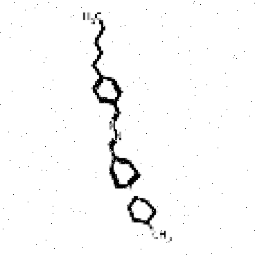 CCCCCc1ccc(C=NN=Cc2ccc([C@H]3CC[C@H](C)CC3)cc2)cc1